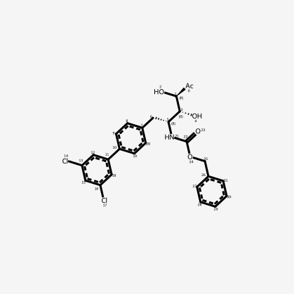 CC(=O)[C@H](O)[C@H](O)[C@@H](Cc1ccc(-c2cc(Cl)cc(Cl)c2)cc1)NC(=O)OCc1ccccc1